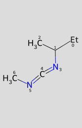 CCC(C)N=C=NC